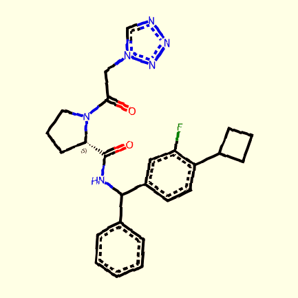 O=C(NC(c1ccccc1)c1ccc(C2CCC2)c(F)c1)[C@@H]1CCCN1C(=O)Cn1cnnn1